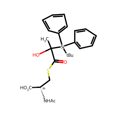 CC(=O)N[C@@H](CSC(=O)C(C)(O)[Si](c1ccccc1)(c1ccccc1)C(C)(C)C)C(=O)O